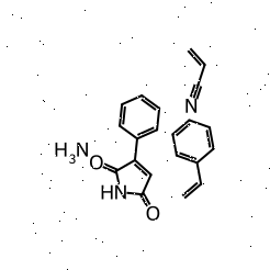 C=CC#N.C=Cc1ccccc1.N.O=C1C=C(c2ccccc2)C(=O)N1